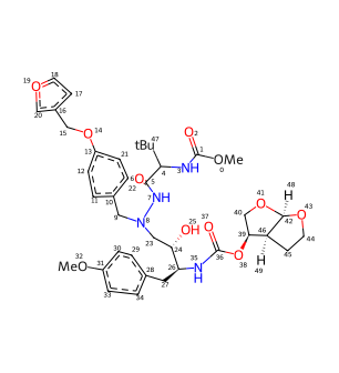 COC(=O)NC(C(=O)NN(Cc1ccc(OCc2ccoc2)cc1)C[C@H](O)[C@H](Cc1ccc(OC)cc1)NC(=O)O[C@H]1CO[C@H]2OCC[C@H]21)C(C)(C)C